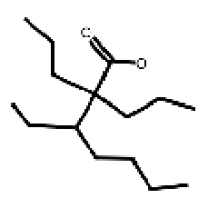 CCCCC(CC)C(CCC)(CCC)C([O])=O